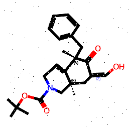 CC(C)(C)OC(=O)N1CC=C2[C@@](C)(C/C(=C/O)C(=O)[C@@]2(C)Cc2ccccc2)C1